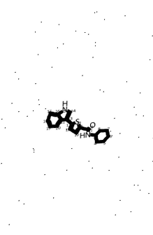 O=C(NC1CCCCC1)c1ccc(-c2c[nH]c3ccccc23)s1